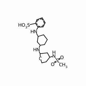 CS(=O)(=O)NC1CCCC(NC2CCCC(Nc3ccccc3S(=O)(=O)O)C2)C1